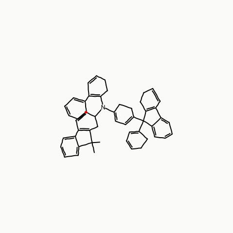 CC1(C)C2=C(C=CC(N(C3=CC=C(C4(C5=CC=CCC5)C5=C(C=CCC5)c5ccccc54)CC3)C3=C(C4=CC=CCC4)C=CCC3)C2)c2ccccc21